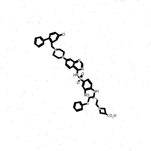 O=C(O)C1CN(CC[C@H](CSc2ccccc2)Nc2ccc(S(=O)(=O)Nc3ncnc4cc(N5CCN(Cc6cc(Cl)ccc6-c6ccccc6)CC5)ccc34)cc2[N+](=O)[O-])C1